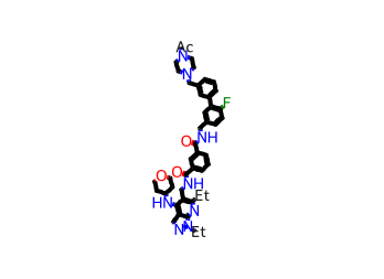 CCc1nc2c(cnn2CC)c(NC2CCOCC2)c1CNC(=O)c1cccc(C(=O)NCc2ccc(F)c(-c3cccc(CN4CCN(C(C)=O)CC4)c3)c2)c1